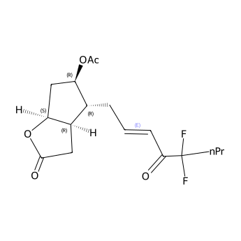 CCCC(F)(F)C(=O)/C=C/C[C@@H]1[C@H]2CC(=O)O[C@H]2C[C@H]1OC(C)=O